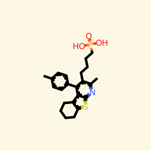 Cc1ccc(-c2c(CCCCP(=O)(O)O)c(C)nc3sc4c(c23)CCCC4)cc1